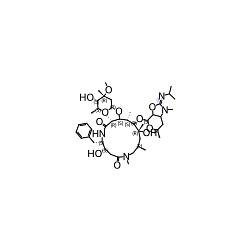 CO[C@]1(C)C[C@H](O[C@H]2[C@H](C)[C@@H](O[C@@H]3O[C@H](C)CC4C3O/C(=N/C(C)C)N4C)[C@](C)(O)C[C@@H](C)CN(C)C(=O)C[C@H](O)[C@H](Cc3ccccc3)NC(=O)[C@@H]2C)O[C@@H](C)[C@@H]1O